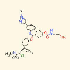 C=N/C(OC)=C(Cl)\C=C(/C)[C@H]1CC[C@H](CN(c2cccc(-c3cnn(C4CC4)c3)c2)C(=O)[C@H]2CC[C@H](OC(=O)NCCO)CC2)CC1